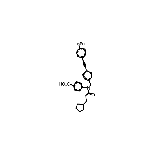 CCCCc1ccc(C#Cc2ccc(CN(C(=O)CCC3CCCC3)c3ccc(C(=O)O)cc3)cc2)cc1